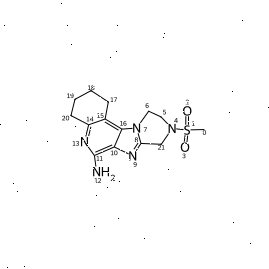 CS(=O)(=O)N1CCn2c(nc3c(N)nc4c(c32)CCCC4)C1